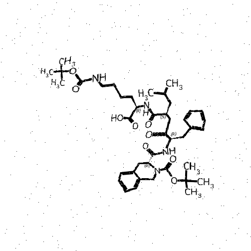 CC(C)C[C@@H](CC(=O)[C@@H](Cc1ccccc1)NC(=O)[C@H]1Cc2ccccc2CN1C(=O)OC(C)(C)C)C(=O)N[C@H](CCCCNC(=O)OC(C)(C)C)C(=O)O